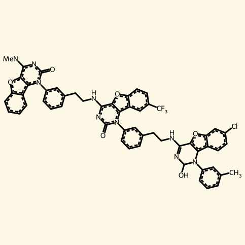 CNc1nc(=O)n(-c2cccc(CCNc3nc(=O)n(-c4cccc(CCNC5=NC(O)N(c6cccc(C)c6)c6c5oc5cc(Cl)ccc65)c4)c4c3oc3ccc(C(F)(F)F)cc34)c2)c2c1oc1ccccc12